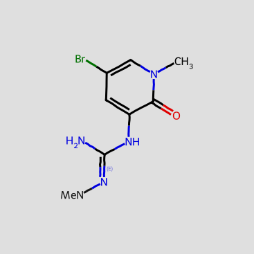 CN/N=C(\N)Nc1cc(Br)cn(C)c1=O